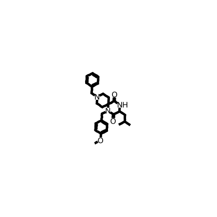 COc1ccc(CN2C(=O)C(CC(C)C)NC(=O)C23CCN(Cc2ccccc2)CC3)cc1